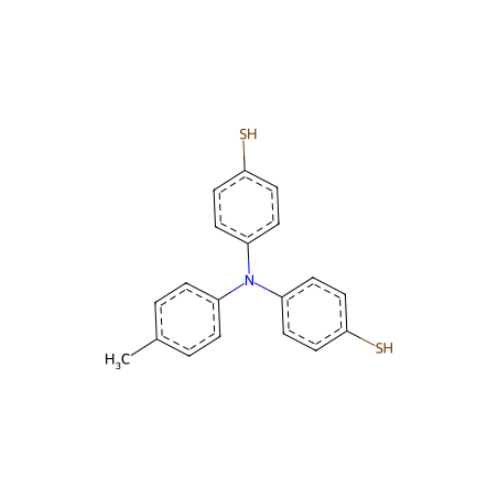 Cc1ccc(N(c2ccc(S)cc2)c2ccc(S)cc2)cc1